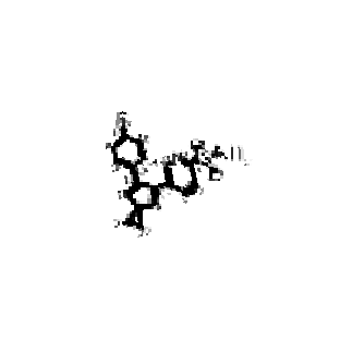 NS(=O)(=O)c1ccc(C2=CC3(C=C2c2ccc(F)cc2)CC3)cn1